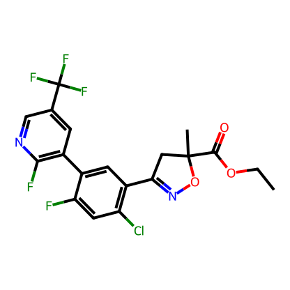 CCOC(=O)C1(C)CC(c2cc(-c3cc(C(F)(F)F)cnc3F)c(F)cc2Cl)=NO1